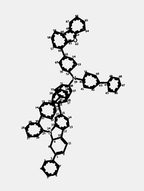 C1=C(c2ccccc2)CC2C(=C1)c1ccc(-c3ccccc3)cc1N2c1ccccc1-c1ccc(-c2ccc(N(c3ccc(-c4ccccc4)cc3)c3ccc(-c4cccc5c4oc4ccccc45)cc3)cc2)cc1